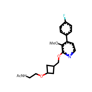 COc1c(-c2ccc(F)cc2)ccnc1OCC1CC(OCCNC(C)=O)C1